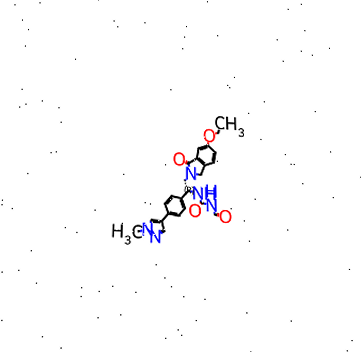 CCOc1ccc2c(c1)C(=O)N(C[C@H](NC(=O)NC=O)c1ccc(-c3cnn(C)c3)cc1)C2